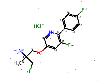 CC(N)(CF)COc1cnc(-c2ccc(F)cc2)c(F)c1.Cl